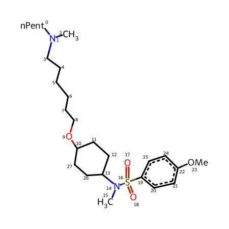 CCCCCN(C)CCCCCCOC1CCC(N(C)S(=O)(=O)c2ccc(OC)cc2)CC1